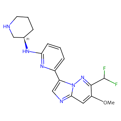 COc1cc2ncc(-c3cccc(N[C@@H]4CCCNC4)n3)n2nc1C(F)F